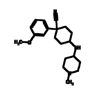 COc1cccc(C2(C#N)CCC(NC3CCN(C)CC3)CC2)c1